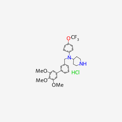 COc1cc(-c2cccc(CN(c3ccc(OC(F)(F)F)cc3)C3CCNCC3)c2)cc(OC)c1OC.Cl